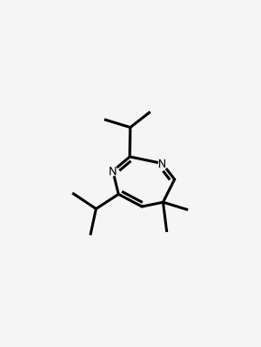 CC(C)C1=CC(C)(C)C=NC(C(C)C)=N1